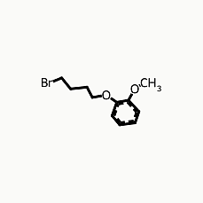 COc1ccccc1OCCCCBr